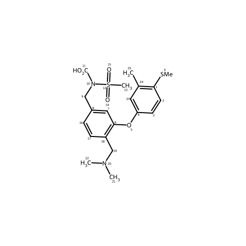 CSc1ccc(Oc2cc(CN(C(=O)O)S(C)(=O)=O)ccc2CN(C)C)cc1C